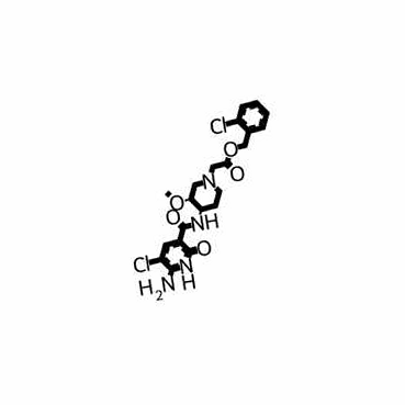 CO[C@@H]1CN(CC(=O)OCc2ccccc2Cl)CC[C@@H]1NC(=O)c1cc(Cl)c(N)[nH]c1=O